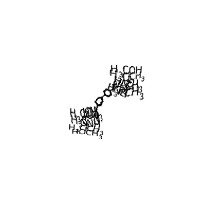 CC(O)C(C)(C)C(=O)NC(c1ncc(-c2ccc(-c3ccc(-c4cnc([C@@H](NC(=O)C(C)(C)C(C)O)C(C)(C)C)[nH]4)cc3)cc2)[nH]1)C(C)(C)C